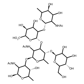 CC(=O)NC1C(O)[C@H](O)C(C)O[C@H]1OC1C(O)[C@H](O)C(C(=O)O)O[C@H]1OC1C(NC(C)=O)[C@H](OC2C(NC(C)=O)[C@H](O)OC(C)[C@H]2O)OC(C)[C@H]1O[C@@H]1OC(CO)[C@@H](O)C(O)C1O